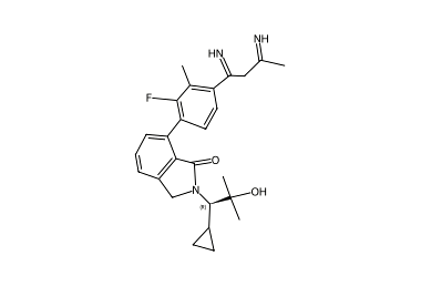 CC(=N)CC(=N)c1ccc(-c2cccc3c2C(=O)N([C@H](C2CC2)C(C)(C)O)C3)c(F)c1C